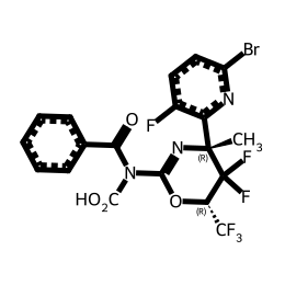 C[C@]1(c2nc(Br)ccc2F)N=C(N(C(=O)O)C(=O)c2ccccc2)O[C@@H](C(F)(F)F)C1(F)F